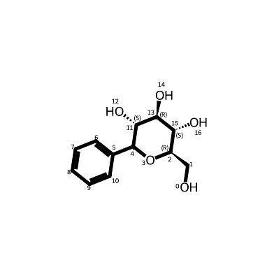 OC[C@H]1O[C](c2ccccc2)[C@H](O)[C@@H](O)[C@@H]1O